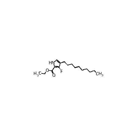 CCCCCCCCCCc1c[nH]c(C(=O)OCC)c1F